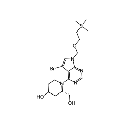 C[Si](C)(C)CCOCn1cc(Br)c2c(N3CCC(O)C[C@H]3CO)ncnc21